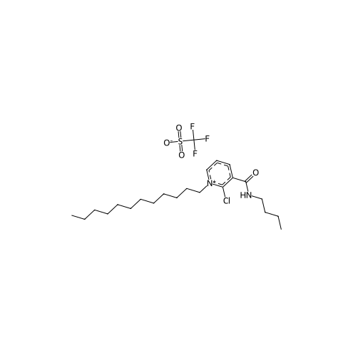 CCCCCCCCCCCC[n+]1cccc(C(=O)NCCCC)c1Cl.O=S(=O)([O-])C(F)(F)F